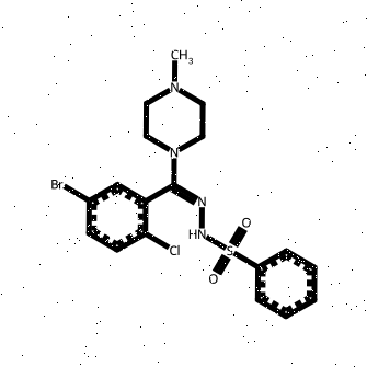 CN1CCN(C(=NNS(=O)(=O)c2ccccc2)c2cc(Br)ccc2Cl)CC1